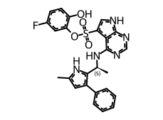 Cc1cc(-c2ccccc2)c([C@H](C)Nc2ncnc3[nH]cc(S(=O)(=O)Oc4cc(F)ccc4O)c23)[nH]1